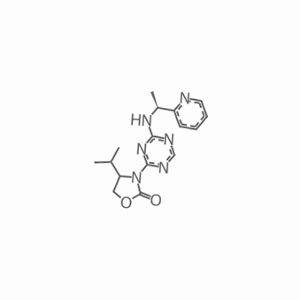 CC(C)C1COC(=O)N1c1ncnc(N[C@@H](C)c2ccccn2)n1